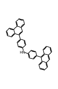 c1ccc2c(-c3ccc(Nc4ccc(-c5cc6ccccc6c6ccccc56)cc4)cc3)c3ccccc3cc2c1